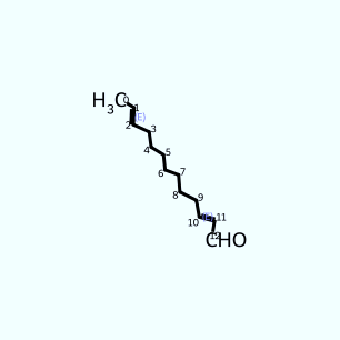 C/C=C/CCCCCCC/C=C/C=O